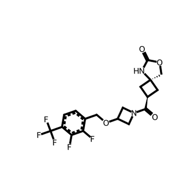 O=C1N[C@]2(CO1)C[C@H](C(=O)N1CC(OCc3ccc(C(F)(F)F)c(F)c3F)C1)C2